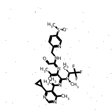 C=C(/N=C(\C(/N=C(\C=O)NCc1ccc([S+](C)[O-])cn1)=C(C)C)N(C)[C@@H](C)C(F)(F)F)c1c(C)ncnc1C1CC1